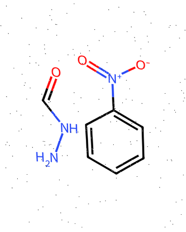 NNC=O.O=[N+]([O-])c1ccccc1